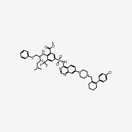 COC(=O)c1cc(S(=O)(=O)Nc2ncnc3cc(N4CCN(CC5=C(c6ccc(Cl)cc6)CCCC5)CC4)ccc23)cc(C(F)(F)F)c1NC(CCN(C)C)CSc1ccccc1